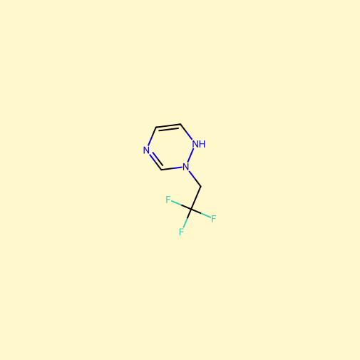 FC(F)(F)CN1C=NC=CN1